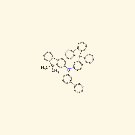 C[Si]1(C)c2ccccc2-c2ccc(N(c3cccc(-c4ccccc4)c3)c3cccc(C4(c5ccccc5)c5ccccc5-c5ccccc54)c3)cc21